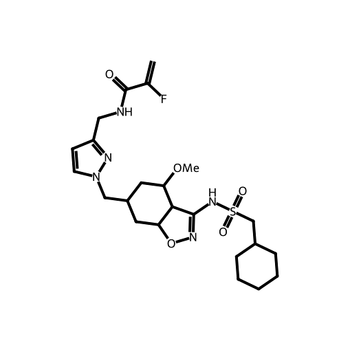 C=C(F)C(=O)NCc1ccn(CC2CC(OC)C3C(NS(=O)(=O)CC4CCCCC4)=NOC3C2)n1